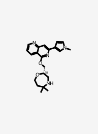 Cn1ccc(-c2cc3ncccc3c(OC[C@@H]3CNC(C)(C)CCO3)n2)c1